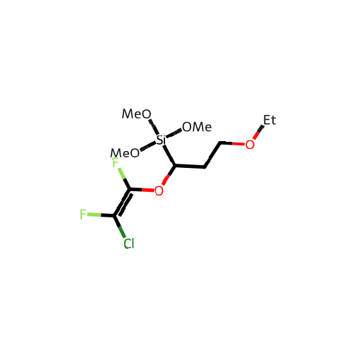 CCOCCC(OC(F)=C(F)Cl)[Si](OC)(OC)OC